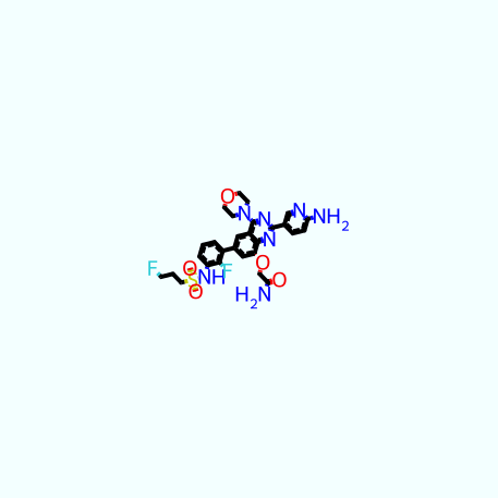 NC(=O)COc1cc(-c2cccc(NS(=O)(=O)CCCF)c2F)cc2c(N3CCOCC3)nc(-c3ccc(N)nc3)nc12